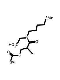 CSCCCCN(CC(=O)O)C(=O)C(C)CSC(=O)C(C)(C)C